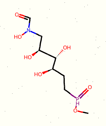 CO[PH](=O)CC[C@@H](O)[C@@H](O)[C@@H](O)CN(O)C=O